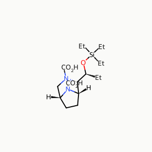 CC[C@H](O[Si](CC)(CC)CC)[C@@H]1[C@@H]2CC[C@H](CN1C(=O)O)N2C(=O)O